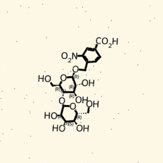 O=C(O)c1ccc(CO[C@@H]2O[C@H](CO)[C@@H](OC3O[C@H](CO)[C@@H](O)[C@H](O)[C@H]3O)[C@H](O)[C@H]2O)c([N+](=O)[O-])c1